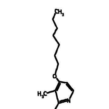 CCCCCCCOc1ccnc(CO)c1C